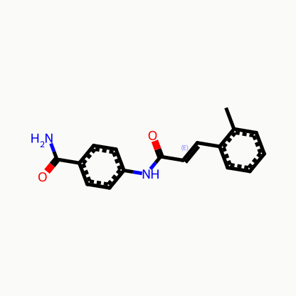 Cc1ccccc1/C=C/C(=O)Nc1ccc(C(N)=O)cc1